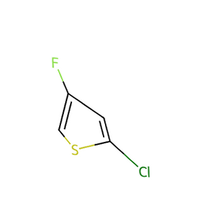 Fc1csc(Cl)c1